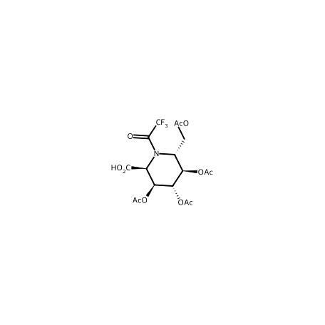 CC(=O)OC[C@@H]1[C@@H](OC(C)=O)[C@H](OC(C)=O)[C@@H](OC(C)=O)[C@@H](C(=O)O)N1C(=O)C(F)(F)F